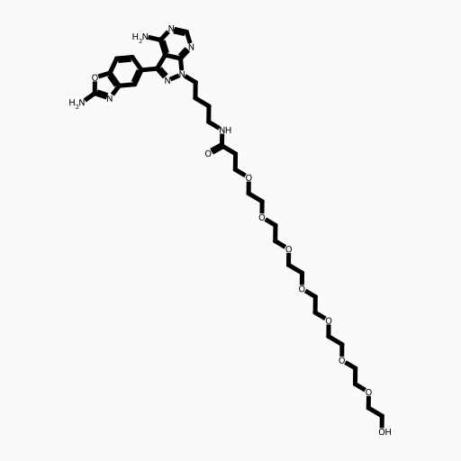 Nc1nc2cc(-c3nn(CCCCNC(=O)CCOCCOCCOCCOCCOCCOCCOCCO)c4ncnc(N)c34)ccc2o1